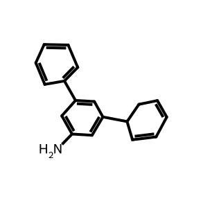 Nc1cc(-c2ccccc2)cc(C2C=CC=CC2)c1